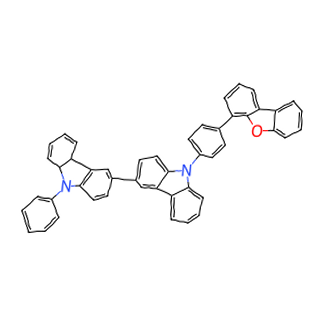 C1=CC2c3cc(-c4ccc5c(c4)c4ccccc4n5-c4ccc(-c5cccc6c5oc5ccccc56)cc4)ccc3N(c3ccccc3)C2C=C1